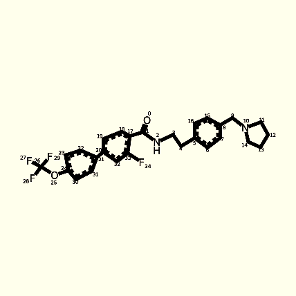 O=C(NCCc1ccc(CN2CCCC2)cc1)c1ccc(-c2ccc(OC(F)(F)F)cc2)cc1F